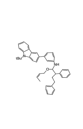 C/C=C\COC(Nc1cccc(-c2ccc3c(c2)c2ccccc2n3C(C)(C)C)c1)C(CCc1ccccc1)c1ccccc1